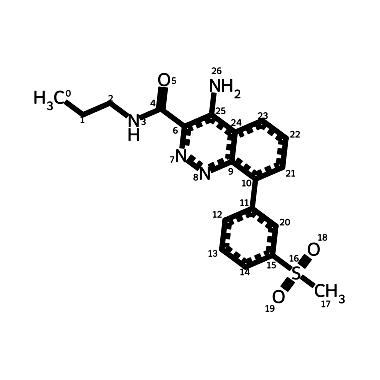 CCCNC(=O)c1nnc2c(-c3cccc(S(C)(=O)=O)c3)cccc2c1N